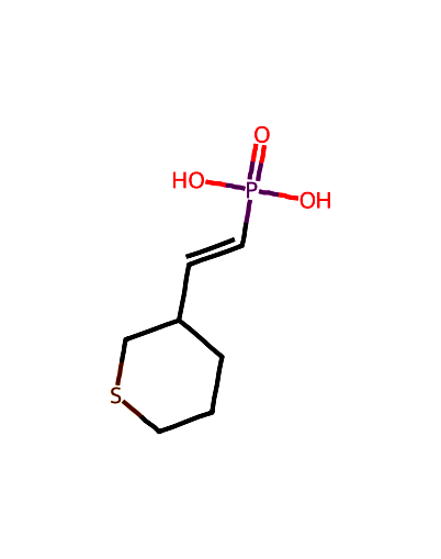 O=P(O)(O)/C=C/C1CCCSC1